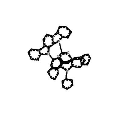 c1ccc(-c2cc(-c3ccccc3)nc(-n3c4ccccc4c4ccc5c6ccccc6n(-c6ccc7c(c6)c6ccccc6n7-c6ccccc6)c5c43)n2)cc1